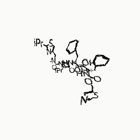 CC(C)c1nc(CN(C)C(=O)N[C@H](C(=O)N[C@@H](Cc2ccccc2)[C@@H](O)[C@H](O)[C@H](Cc2ccccc2)NC(=O)OCc2cncs2)C(C)C)cs1